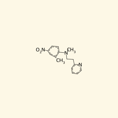 Cc1cc([N+](=O)[O-])ccc1N(C)CCc1ccccn1